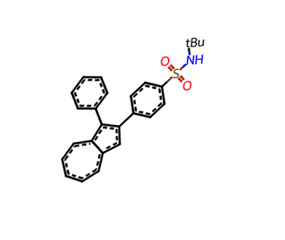 CC(C)(C)NS(=O)(=O)c1ccc(-c2cc3cccccc-3c2-c2ccccc2)cc1